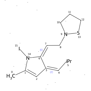 Cc1cc(=C/C(C)C)/c(=C\CN2CCCS2)n1I